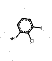 C[C](C)c1cccc(I)c1Cl